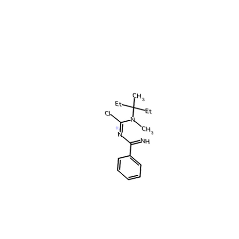 CCC(C)(CC)N(C)/C(Cl)=N\C(=N)c1ccccc1